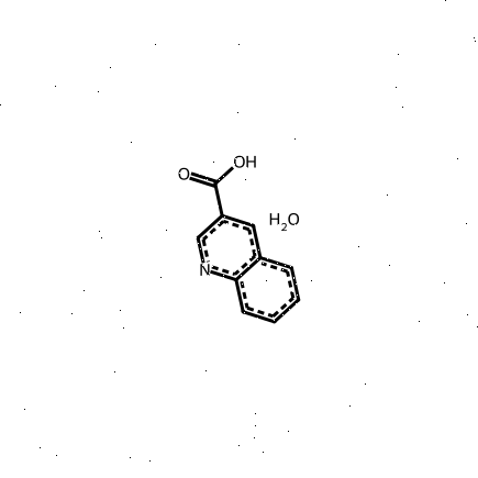 O.O=C(O)c1cnc2ccccc2c1